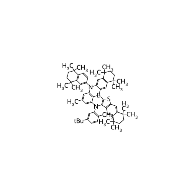 Cc1cc2c3c(c1)N(c1cc(C(C)(C)C)ccc1C)c1c(sc4cc5c(cc14)C(C)(C)CCC5(C)C)B3c1cc3c(cc1N2c1ccc2c(c1)C(C)(C)CCC2(C)C)C(C)(C)CCC3(C)C